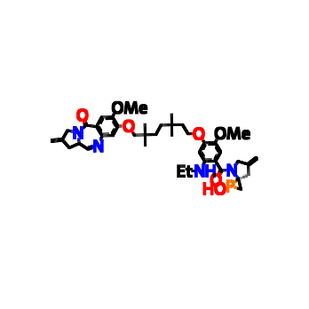 C=C1CC2C=Nc3cc(OCC(C)(C)CCC(C)(C)CCOc4cc(NCC)c(C(=O)N5CC(=C)C[C@@]56CP6O)cc4OC)c(OC)cc3C(=O)N2C1